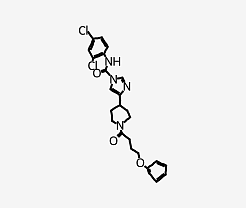 O=C(CCCOc1ccccc1)N1CCC(c2cn(C(=O)Nc3ccc(Cl)cc3Cl)cn2)CC1